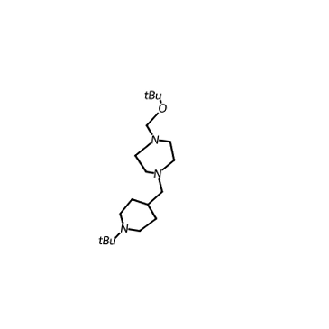 CC(C)(C)OCN1CCN(CC2CCN(C(C)(C)C)CC2)CC1